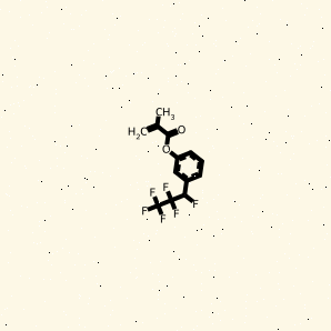 C=C(C)C(=O)Oc1cccc(C(F)C(F)(F)C(F)(F)F)c1